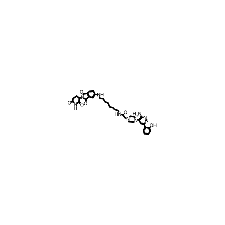 Nc1nnc(-c2ccccc2O)cc1N1CCN(CC(=O)NCCCCCCCCNc2ccc3c(c2)C(=O)N(C2CCC(=O)NC2=O)C3=O)CC1